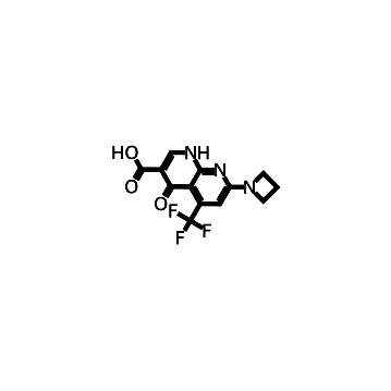 O=C(O)c1c[nH]c2nc(N3CCC3)cc(C(F)(F)F)c2c1=O